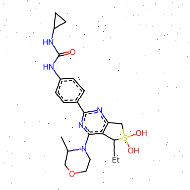 CCC1c2c(nc(-c3ccc(NC(=O)NC4CC4)cc3)nc2N2CCOCC2C)CS1(O)O